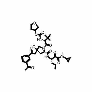 CCC[C@H](NC(=O)[C@@H]1C[C@]2(CC(c3cccc(C(C)=O)c3)=NO2)CN1C(=O)[C@@H](NC(=O)O[C@H]1CCOC1)C(C)(C)C)C(=O)C(=O)NC1CC1